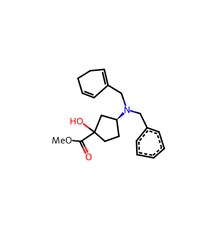 COC(=O)C1(O)CC[C@H](N(CC2=CCCC=C2)Cc2ccccc2)C1